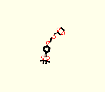 CC1(C)OB(c2ccc(OCCOC[C@@H]3COCCO3)cc2)OC1(C)C